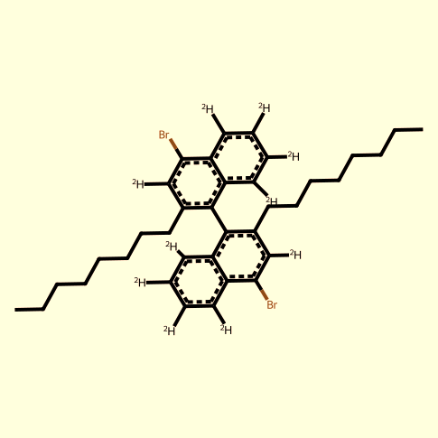 [2H]c1c([2H])c([2H])c2c(-c3c(CCCCCCCC)c([2H])c(Br)c4c([2H])c([2H])c([2H])c([2H])c34)c(CCCCCCCC)c([2H])c(Br)c2c1[2H]